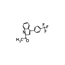 CC(=O)c1cc(-c2ccc(C(F)(F)F)cc2)c2ccccc2n1